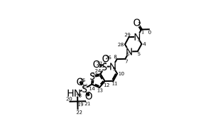 CC(=O)N1CCN(CCN2C=Cc3cc(S(=O)(=O)NC(C)(C)C)sc3S2(=O)=O)CC1